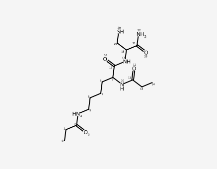 CCC(=O)NCCCCC(NC(=O)CC)C(=O)NC(CS)C(N)=O